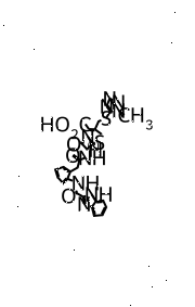 Cn1nnnc1SCC1=C(C(=O)O)N2C(=O)C(NC(=O)Cc3ccccc3NC(=O)c3nc4ccccc4[nH]3)[C@H]2SC1